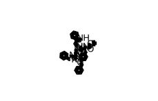 CC(C)(C)OC(=O)N[C@@H](Cc1ccc(OCc2ccccc2)cc1)C(=O)N[C@H](CNc1nnn(Cc2ccccc2)n1)Cc1c[nH]c2ccccc12